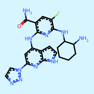 NC(=O)c1cc(F)c(NC2CCCCC2N)nc1Nc1cc(-n2ccnn2)nc2[nH]ccc12